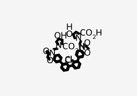 O=C(O)[C@@H]1C[C@@H](O)CN1CCN1C(=O)COc2cc(-c3cccc(-c4cccc(-c5ccc6c(c5)OCC(=O)N6CCN5C[C@H](O)C[C@H]5C(=O)O)c4Cl)c3Cl)ccc21